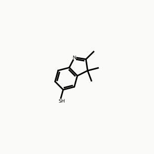 CC1=Nc2ccc(S)cc2C1(C)C